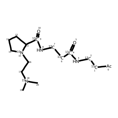 C[13C](=O)[13CH2][13CH2]N[13C](=O)[13CH2][13CH2]N[13C](=O)C1CCC[15N]1CC[15N](C)C